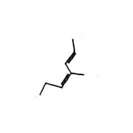 CC(C)CC=C(C=CC(=O)O)C(=O)O